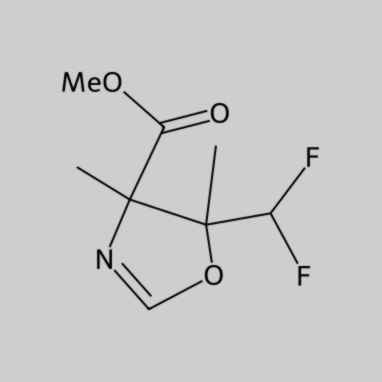 COC(=O)C1(C)N=COC1(C)C(F)F